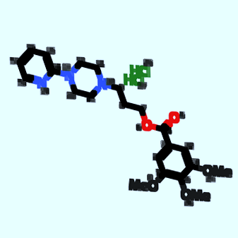 COc1cc(C(=O)OCCCN2CCN(c3ccccn3)CC2)cc(OC)c1OC.Cl.Cl